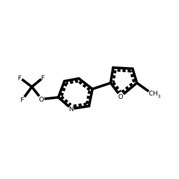 Cc1ccc(-c2ccc(OC(F)(F)F)nc2)o1